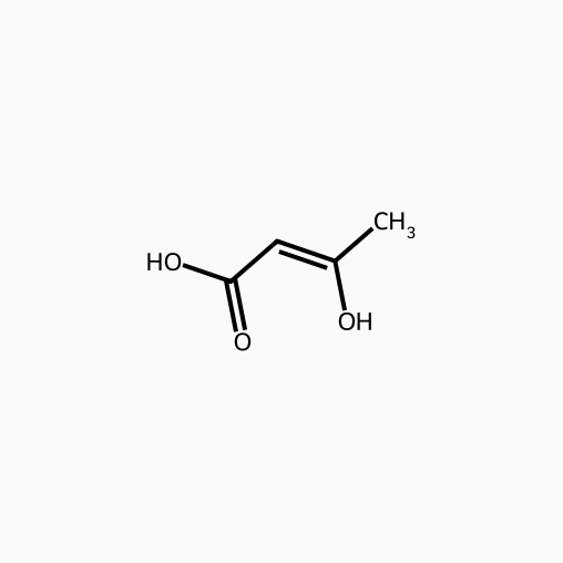 CC(O)=CC(=O)O